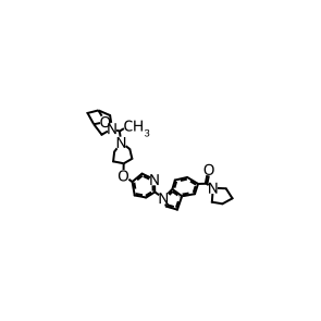 CC(N1CCC(Oc2ccc(-n3ccc4cc(C(=O)N5CCCC5)ccc43)nc2)CC1)N1CC2CC(C1)O2